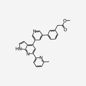 COC(=O)Cc1cccc(-c2cncc(-c3cc(-c4cccc(C)n4)nc4[nH]ccc34)c2)c1